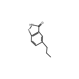 CCCc1ccc2s[nH]c(=O)c2c1